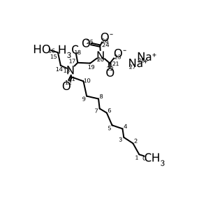 CCCCCCCCCCCC(=O)N(CCO)C(C)CN(C(=O)[O-])C(=O)[O-].[Na+].[Na+]